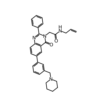 C=CCNC(=O)Cn1c(-c2ccccc2)nc2ccc(-c3cccc(CN4CCCCC4)c3)cc2c1=O